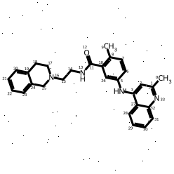 Cc1cc(Nc2ccc(C)c(C(=O)NCCN3CCc4ccccc4C3)c2)c2ccccc2n1